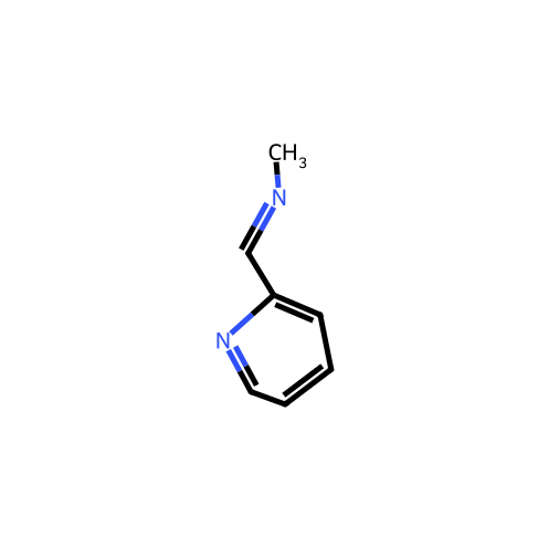 CN=Cc1ccccn1